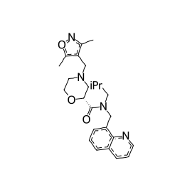 Cc1noc(C)c1CN1CCO[C@@H](C(=O)N(Cc2cccc3cccnc23)CC(C)C)C1